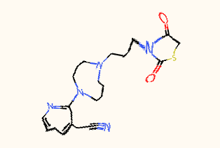 N#Cc1cccnc1N1CCN(CCCN2C(=O)CSC2=O)CC1